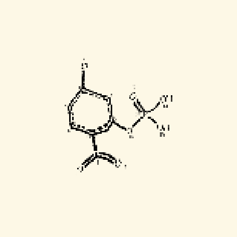 O=I(=O)c1ccc(Cl)cc1OP(=O)(O)O